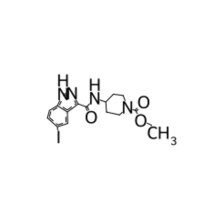 CCOC(=O)N1CCC(NC(=O)c2n[nH]c3ccc(I)cc23)CC1